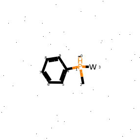 C[PH](C)([W])c1ccccc1